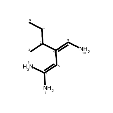 CCC(C)/C(C=C(N)N)=C/N